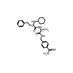 C[C@H](NC(=O)[C@@H](CCc1ccccc1)NC1CCCCC1)C(=O)NCc1ccc(C(=N)N)cc1